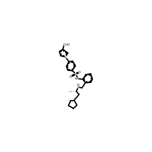 C[C@@H](CC1CCCC1)NCc1ccccc1NS(=O)(=O)c1ccc(-n2ccc(C=O)c2)cc1